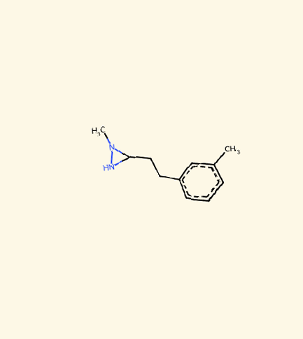 Cc1cccc(CCC2NN2C)c1